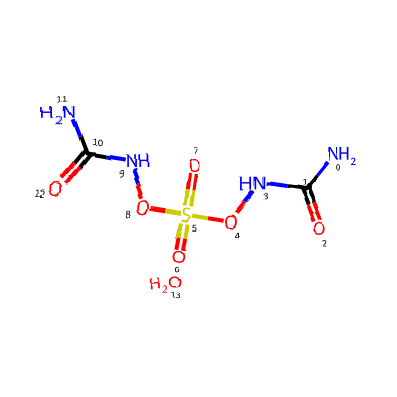 NC(=O)NOS(=O)(=O)ONC(N)=O.O